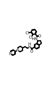 O=C(NCCC1CCN(c2ccncc2)CC1)c1ccc2c(c1)C(NC(=O)c1cccc(Cl)c1Cl)CC2